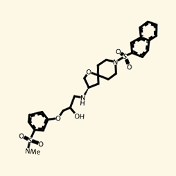 CNS(=O)(=O)c1cccc(OCC(O)CN[C@H]2COC3(CCN(S(=O)(=O)c4ccc5ccccc5c4)CC3)C2)c1